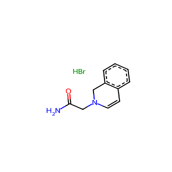 Br.NC(=O)CN1C=Cc2ccccc2C1